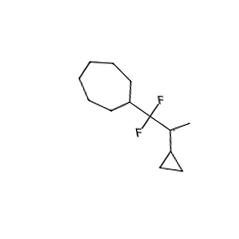 C[C](C1CC1)C(F)(F)C1CCCCCC1